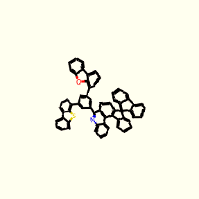 c1ccc2c(c1)-c1ccccc1C21c2ccccc2-c2c1ccc1c(-c3cc(-c4cccc5c4oc4ccccc45)cc(-c4cccc5c4sc4ccccc45)c3)nc3ccccc3c21